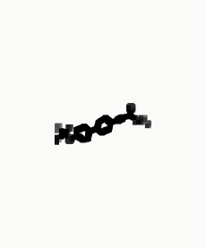 NC(=O)C#Cc1ccc(-c2ccc(OC(F)(F)F)cc2)cc1